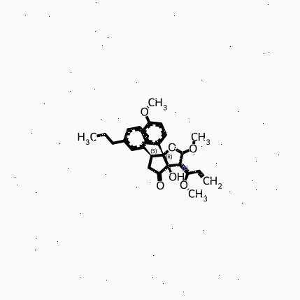 C=C/C(OC)=C1\C(OC)O[C@@]2(c3ccc(OC)cc3)[C@H](c3cccc(CCC)c3)CC(=O)[C@@]12O